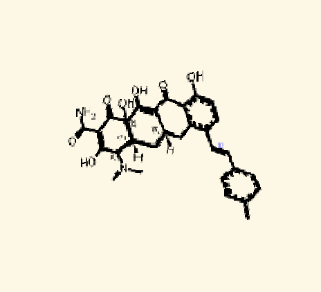 Cc1ccc(/C=C/c2ccc(O)c3c2C[C@@H]2C[C@@H]4[C@@H](N(C)C)C(O)=C(C(N)=O)C(=O)[C@]4(O)C(O)=C2C3=O)cc1